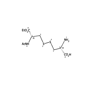 CCOC(=O)[C@H](CSSC[C@H](N)C(=O)O)NC(C)=O